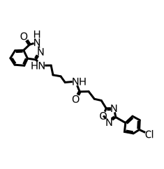 O=C(CCCc1nc(-c2ccc(Cl)cc2)no1)NCCCCNc1n[nH]c(=O)c2ccccc12